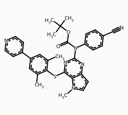 Cc1cc(-c2ccncc2)cc(C)c1Sc1nc(N(C(=O)OC(C)(C)C)c2ccc(C#N)cc2)nc2ccn(C)c12